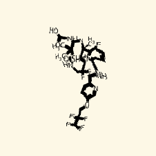 CC1(C)C(NC(=O)O)=N[C@](C)(c2nc(NCc3ccc(OCC(F)(F)C(F)F)cn3)ccc2F)[C@H]2CC(F)(F)CN[SH]21=O